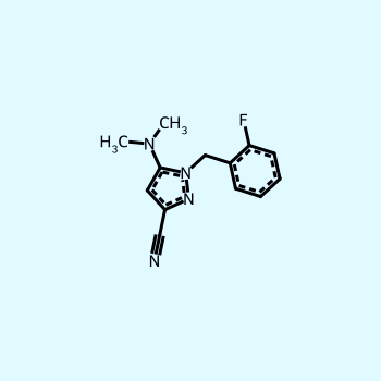 CN(C)c1cc(C#N)nn1Cc1ccccc1F